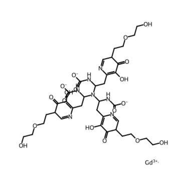 O=C([O-])NC(CC1=C(O)C(=O)C(CCOCCO)C=N1)N(C(CC1=C(O)C(=O)C(CCOCCO)C=N1)NC(=O)[O-])C(CC1=C(O)C(=O)C(CCOCCO)C=N1)NC(=O)[O-].[Gd+3]